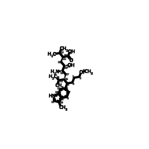 COCCCC(c1ccc2c(C)c[nH]c2c1)[C@@H](C[C@H](N)[C@@H](O)C[C@H](C(=O)O)C(C)C)C(C)C